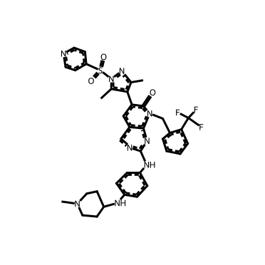 Cc1nn(S(=O)(=O)c2ccncc2)c(C)c1-c1cc2cnc(Nc3ccc(NC4CCN(C)CC4)cc3)nc2n(Cc2ccccc2C(F)(F)F)c1=O